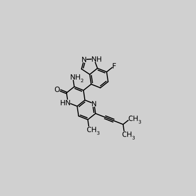 Cc1cc2[nH]c(=O)c(N)c(-c3ccc(F)c4[nH]ncc34)c2nc1C#CC(C)C